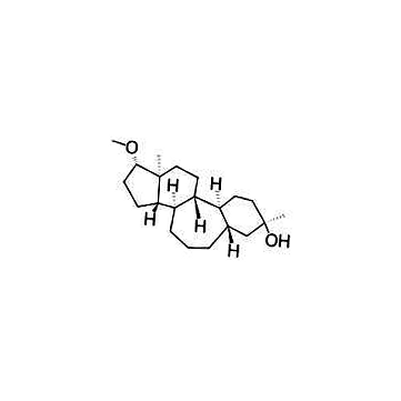 CO[C@H]1CC[C@H]2[C@@H]3CCC[C@H]4C[C@](C)(O)CC[C@@H]4[C@H]3CC[C@]12C